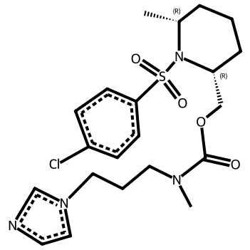 C[C@@H]1CCC[C@H](COC(=O)N(C)CCCn2ccnc2)N1S(=O)(=O)c1ccc(Cl)cc1